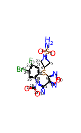 NS(=O)(=O)N1CC(Sc2nonc2-c2noc(=O)n2-c2ccc(F)c(Br)c2)C1